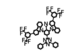 N#Cc1c(-n2c3ccccc3c3cc(-c4cc(C(F)(F)F)cc(C(F)(F)F)c4)ccc32)cc(-c2nc(-c3ccccc3)nc(-c3ccccc3)n2)cc1-n1c2ccccc2c2cc(-c3cc(C(F)(F)F)cc(C(F)(F)F)c3)ccc21